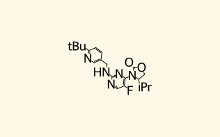 CC(C)C1COC(=O)N1c1nc(NCc2ccc(C(C)(C)C)nc2)ncc1F